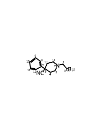 CC(C)(C)CN1CCC(C#N)(c2ccccc2)CC1